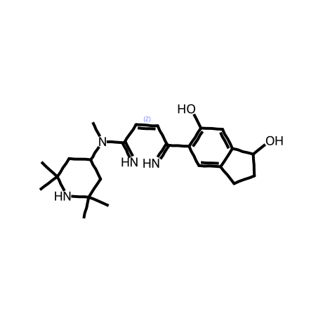 CN(C(=N)/C=C\C(=N)c1cc2c(cc1O)C(O)CC2)C1CC(C)(C)NC(C)(C)C1